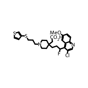 COc1ccc2ncc(Cl)c(C(F)CCC3(CC(=O)O)CCN(CCCSc4ccsc4)CC3)c2c1